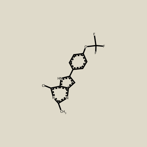 Cc1nc(Cl)c2[nH]c(-c3ccc(OC(F)(F)F)cc3)cc2n1